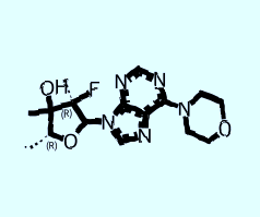 [CH2][C@H]1OC(n2cnc3c(N4CCOCC4)ncnc32)[C@](C)(F)C1(C)O